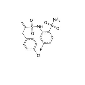 C=C(Cc1ccc(Cl)cc1)S(=O)(=O)Nc1cc(F)ccc1S(N)(=O)=O